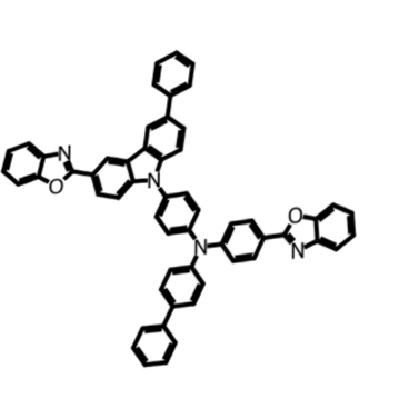 c1ccc(-c2ccc(N(c3ccc(-c4nc5ccccc5o4)cc3)c3ccc(-n4c5ccc(-c6ccccc6)cc5c5cc(-c6nc7ccccc7o6)ccc54)cc3)cc2)cc1